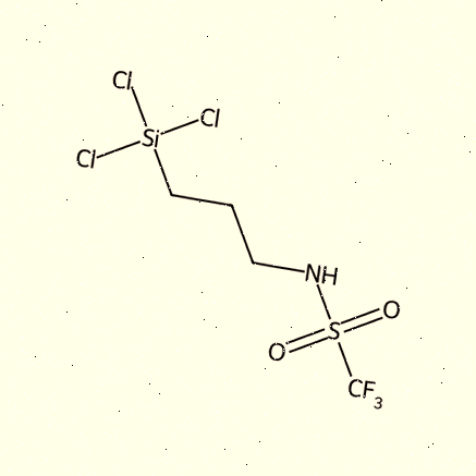 O=S(=O)(NCCC[Si](Cl)(Cl)Cl)C(F)(F)F